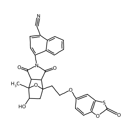 CC12OC(CCOc3ccc4oc(=O)sc4c3)(CC1O)C1C(=O)N(c3ccc(C#N)c4ccccc34)C(=O)C12